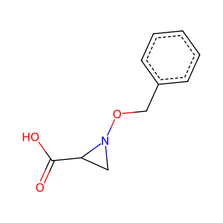 O=C(O)C1CN1OCc1ccccc1